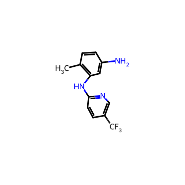 Cc1ccc(N)cc1Nc1ccc(C(F)(F)F)cn1